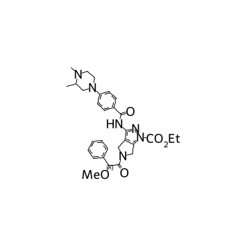 CCOC(=O)n1nc(NC(=O)c2ccc(N3CCN(C)C(C)C3)cc2)c2c1CN(C(=O)[C@H](OC)c1ccccc1)C2